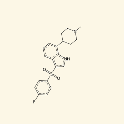 CN1CCC(c2cccc3c(S(=O)(=O)c4ccc(F)cc4)c[nH]c23)CC1